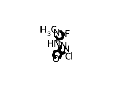 CN1C[C@H](F)C[C@@H](Nc2nnc(Cl)c3c2CCOC3)C1